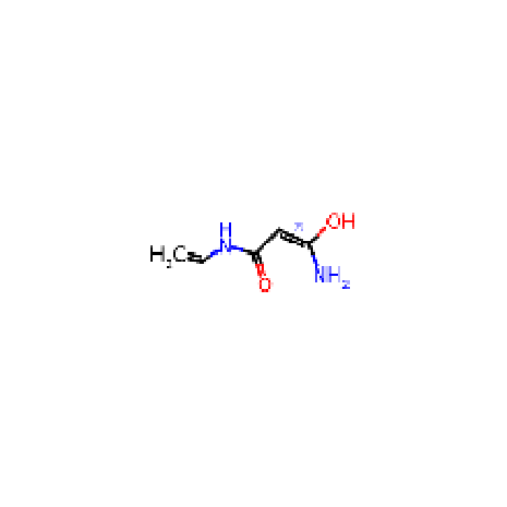 C=CNC(=O)/C=C(\N)O